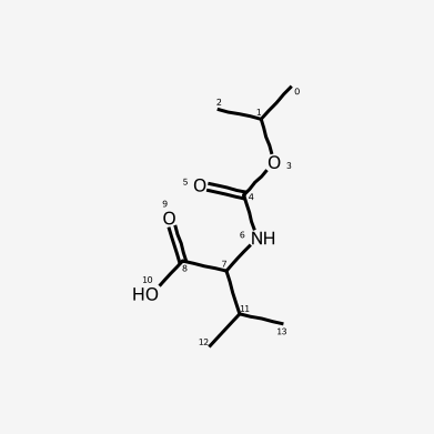 CC(C)OC(=O)NC(C(=O)O)C(C)C